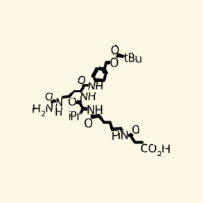 CC(C)C(NC(=O)CCCCCNC(=O)CCC(=O)O)C(=O)NC(CCCNC(N)=O)C(=O)Nc1ccc(COC(=O)C(C)(C)C)cc1